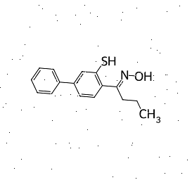 CCCC(=NO)c1ccc(-c2ccccc2)cc1S